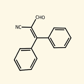 N#CC(C=O)=C(c1ccccc1)c1ccccc1